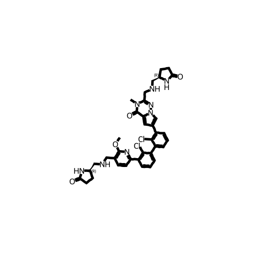 COc1nc(-c2cccc(-c3cccc(-c4cc5c(=O)n(C)c(CNC[C@H]6CCC(=O)N6)nn5c4)c3Cl)c2Cl)ccc1CNC[C@H]1CCC(=O)N1